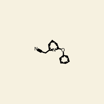 N#CCc1cccc(Oc2ccccc2)n1